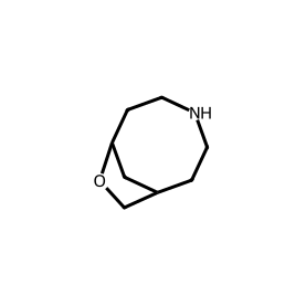 C1CC2COC(CCN1)C2